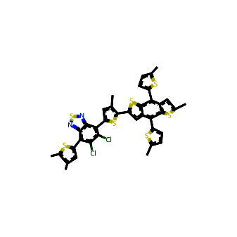 Cc1ccc(-c2c3cc(-c4sc(-c5c(Cl)c(Cl)c(-c6cc(C)c(C)s6)c6nsnc56)cc4C)sc3c(-c3ccc(C)s3)c3cc(C)sc23)s1